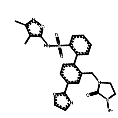 Cc1noc(NS(=O)(=O)c2ccccc2-c2ccc(-c3ncco3)cc2CN2CCN(C(C)C)C2=O)c1C